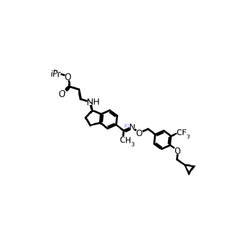 C/C(=N\OCc1ccc(OCC2CC2)c(C(F)(F)F)c1)c1ccc2c(c1)CCC2NCCC(=O)OC(C)C